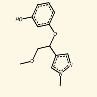 COCC(Oc1c[c]cc(O)c1)c1cnn(C)c1